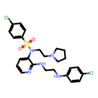 O=S(=O)(c1ccc(Cl)cc1)N(CCN1CCCC1)c1cccnc1NCCNc1ccc(Cl)cc1